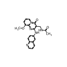 COc1cccn2c(=O)c(CNC(C)=O)c(Nc3ccc4ncccc4c3)nc12